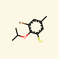 Cc1cc(S)c(OC(C)C)c(Br)c1